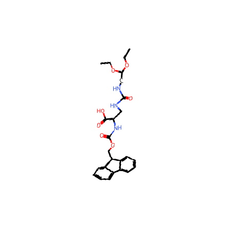 CCOC(CNC(=O)NCC(NC(=O)OCC1c2ccccc2-c2ccccc21)C(=O)O)OCC